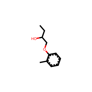 CCC(O)COc1ccccc1C